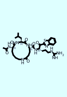 CC(=O)N[C@H]1CCCCNC(=O)CC[C@@H](C(=O)N[C@@H](CCCNC(=N)N)C(=O)c2nc3ccccc3s2)NC(=O)[C@H](CC(C)C)NC1=O